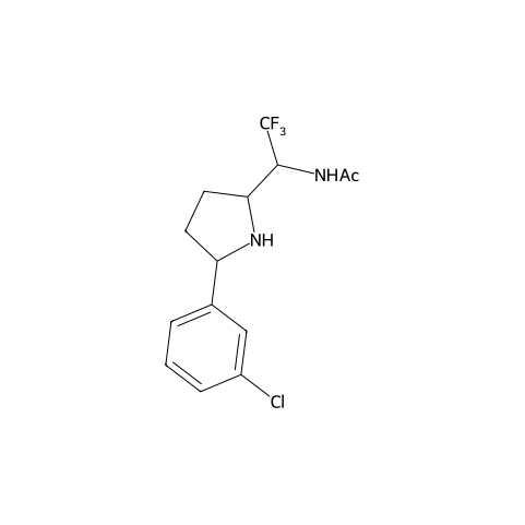 CC(=O)NC(C1CCC(c2cccc(Cl)c2)N1)C(F)(F)F